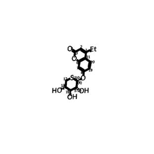 CCc1cc(=O)oc2cc(O[C@@H]3SC[C@@H](O)[C@H](O)[C@H]3O)ccc12